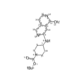 CC(C)(C)OC(=O)N1CCC(Nc2cc3c(O)nccc3cn2)CC1